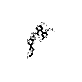 COc1cnc(Cl)cc1-c1cc(C)ncc1C(=O)Nc1nc2ncc(C3CN(CC(F)(F)F)C3)nc2s1